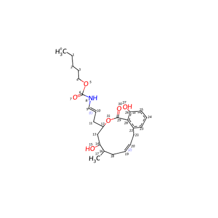 CCCCCOC(=O)N/C=C/CC1CC(O)C(C)C/C=C\Cc2cccc(O)c2C(=O)O1